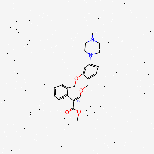 CO/C=C(/C(=O)OC)c1ccccc1COc1cccc(N2CCN(C)CC2)c1